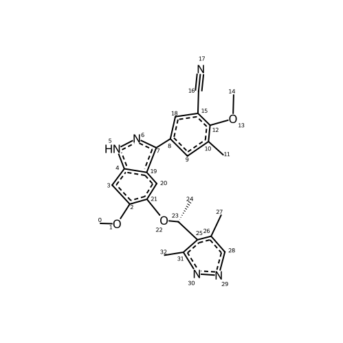 COc1cc2[nH]nc(-c3cc(C)c(OC)c(C#N)c3)c2cc1O[C@H](C)c1c(C)cnnc1C